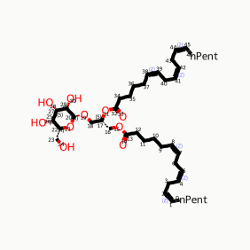 CCCCC/C=C\C/C=C\C/C=C\CCCCC(=O)OC[C@H](CO[C@@H]1O[C@H](CO)[C@H](O)[C@H](O)[C@H]1O)OC(=O)CCCC/C=C\C/C=C\C/C=C\CCCCC